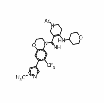 CC(=O)N1CCC(NC2CCOCC2)=C(C(=N)N2CCOc3cc(-c4cnn(C)c4)c(C(F)(F)F)cc32)C1